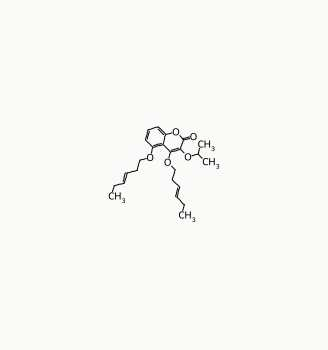 CCC=CCCOc1cccc2oc(=O)c(OC(C)C)c(OCCC=CCC)c12